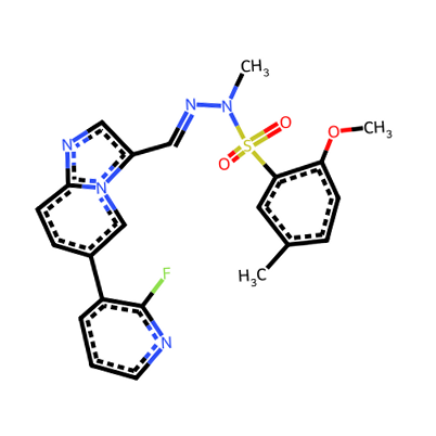 COc1ccc(C)cc1S(=O)(=O)N(C)N=Cc1cnc2ccc(-c3cccnc3F)cn12